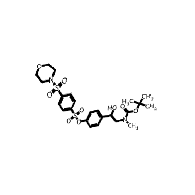 CN(CC(O)c1ccc(OS(=O)(=O)c2ccc(S(=O)(=O)N3CCOCC3)cc2)cc1)C(=O)OC(C)(C)C